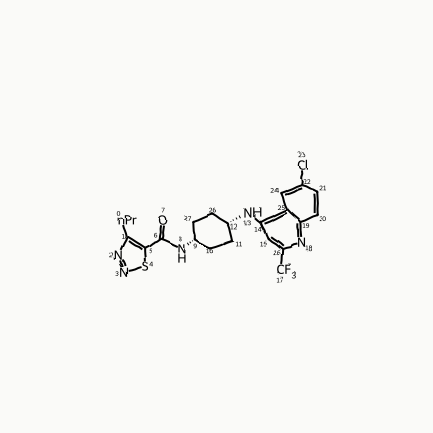 CCCc1nnsc1C(=O)N[C@H]1CC[C@@H](Nc2cc(C(F)(F)F)nc3ccc(Cl)cc23)CC1